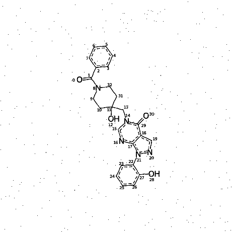 O=C(c1ccccc1)N1CCC(O)(Cn2cnc3c(cnn3-c3ccccc3O)c2=O)CC1